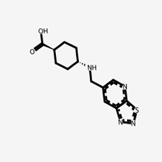 O=C(O)[C@H]1CC[C@H](NCc2cnc3snnc3c2)CC1